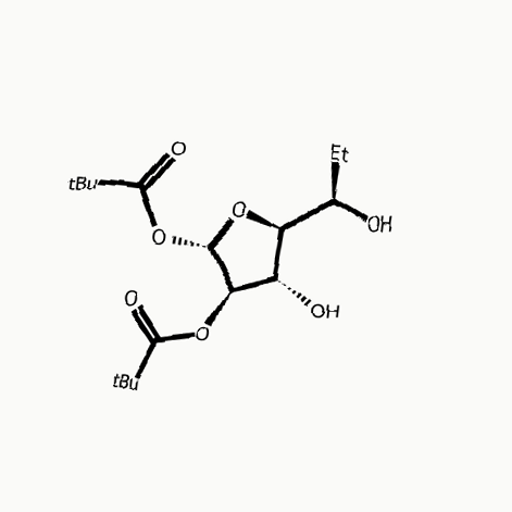 CC[C@@H](O)[C@@H]1O[C@@H](OC(=O)C(C)(C)C)[C@H](OC(=O)C(C)(C)C)[C@H]1O